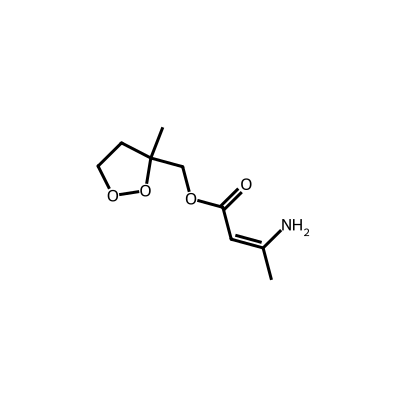 C/C(N)=C/C(=O)OCC1(C)CCOO1